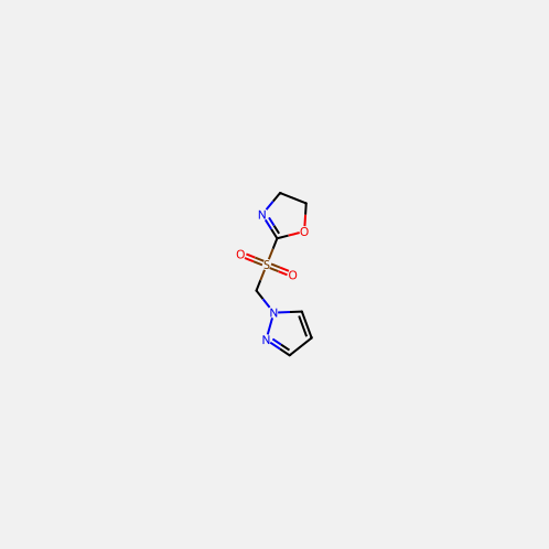 O=S(=O)(Cn1cccn1)C1=NCCO1